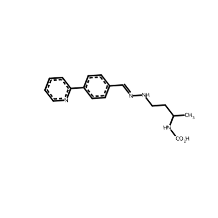 CC(CCNN=Cc1ccc(-c2ccccn2)cc1)NC(=O)O